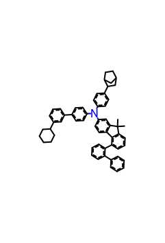 CC1(C)c2cc(N(c3ccc(-c4cccc(C5CCCCC5)c4)cc3)c3ccc(C4CC5CCC4C5)cc3)ccc2-c2c(-c3ccccc3-c3ccccc3)cccc21